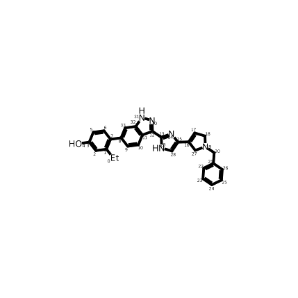 CCc1cc(O)ccc1-c1ccc2c(-c3nc(C4=CCN(Cc5ccccc5)C4)c[nH]3)n[nH]c2c1